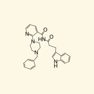 O=C(CCc1c[nH]c2ccccc12)NC(=O)c1cccnc1N1CCN(Cc2ccccc2)CC1